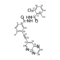 Cc1ccc(C(=O)NNC(=O)c2c(C)cccc2Cl)cc1C#Cc1cnc2nccnc2c1